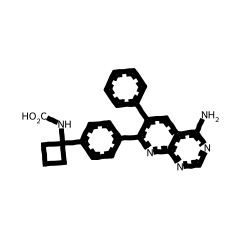 Nc1ncnc2nc(-c3ccc(C4(NC(=O)O)CCC4)cc3)c(-c3ccccc3)cc12